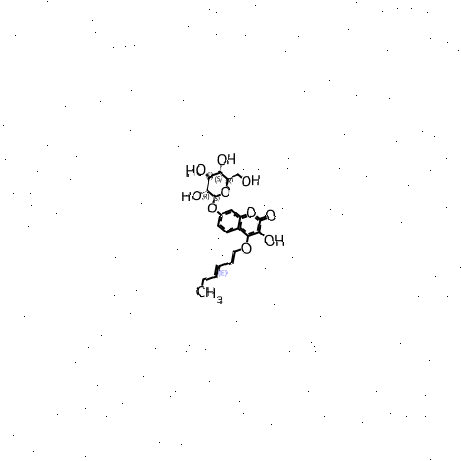 CC/C=C/CCOc1c(O)c(=O)oc2cc(O[C@@H]3O[C@H](CO)[C@@H](O)[C@H](O)[C@H]3O)ccc12